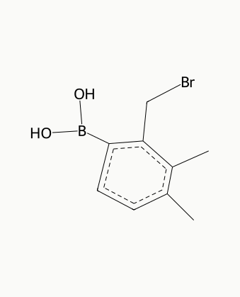 Cc1ccc(B(O)O)c(CBr)c1C